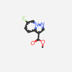 COC(=O)c1cnn2cc(F)ccc12